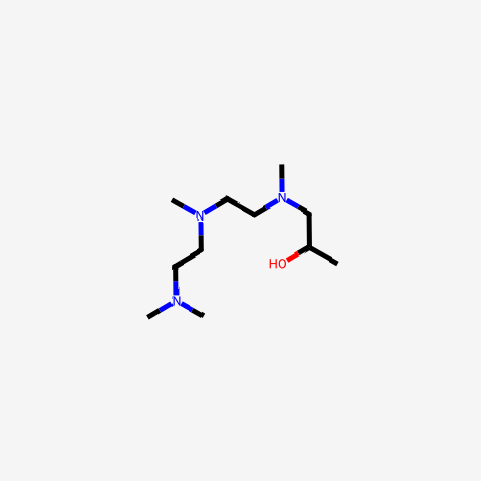 CC(O)CN(C)CCN(C)CCN(C)C